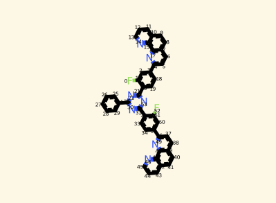 Fc1cc(-c2ccc3ccc4cccnc4c3n2)ccc1-c1nc(-c2ccccc2)nc(-c2ccc(-c3ccc4ccc5cccnc5c4n3)cc2F)n1